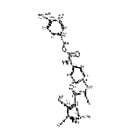 Cc1nn(C)c(C(=O)N(C)Cc2ccc(NC(=O)OCc3ccc(Cl)cc3)cc2)c1C